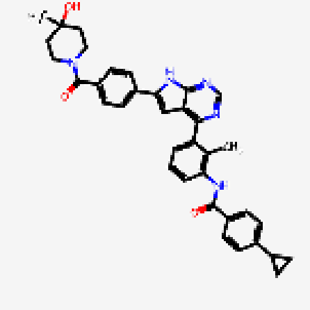 Cc1c(NC(=O)c2ccc(C3CC3)cc2)cccc1-c1ncnc2[nH]c(-c3ccc(C(=O)N4CCC(C)(O)CC4)cc3)cc12